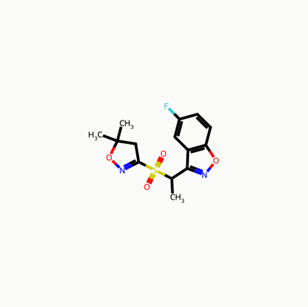 CC(c1noc2ccc(F)cc12)S(=O)(=O)C1=NOC(C)(C)C1